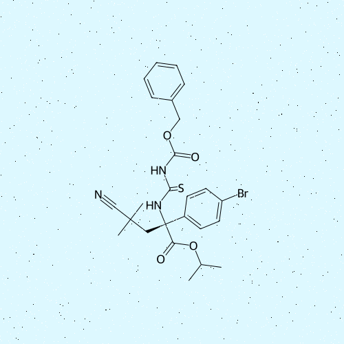 CC(C)OC(=O)[C@](CC(C)(C)C#N)(NC(=S)NC(=O)OCc1ccccc1)c1ccc(Br)cc1